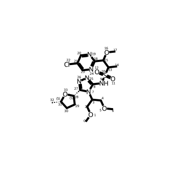 COCC(COC)n1c(NS(=O)(=O)C(C)C(OC)c2ncc(Cl)cn2)nnc1[C@@H]1CC[C@H](C)O1